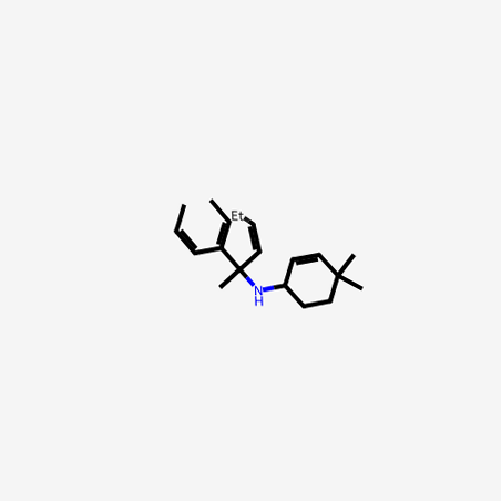 C/C=C\C(=C/C)C(C)(/C=C\CC)NC1C=CC(C)(C)CC1